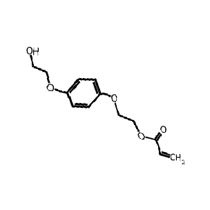 C=CC(=O)OCCOc1ccc(OCCO)cc1